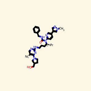 CCC[C@@H](CCCNc1ncc(C#N)c(N2CCC(CO)C2)n1)N(C(=O)NCc1ccccc1)c1ccc(-c2cnn(C)c2)cn1